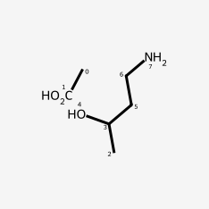 CC(=O)O.CC(O)CCN